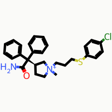 C[N+]1(CCCSc2ccc(Cl)cc2)CC[C@@H](C(C(N)=O)(c2ccccc2)c2ccccc2)C1